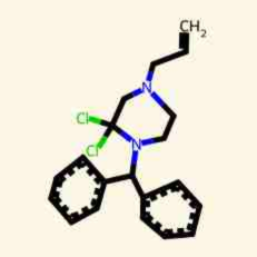 C=CCN1CCN(C(c2ccccc2)c2ccccc2)C(Cl)(Cl)C1